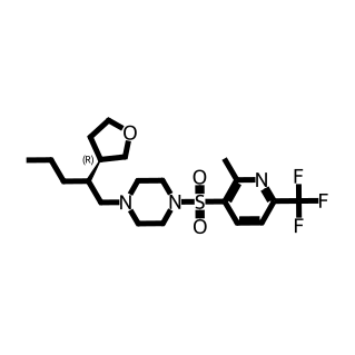 CCCC(CN1CCN(S(=O)(=O)c2ccc(C(F)(F)F)nc2C)CC1)[C@H]1CCOC1